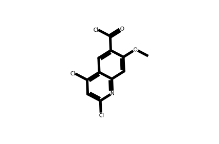 COc1cc2nc(Cl)cc(Cl)c2cc1C(=O)Cl